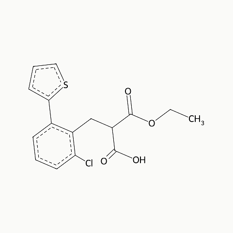 CCOC(=O)C(Cc1c(Cl)cccc1-c1cccs1)C(=O)O